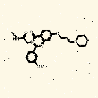 COc1cccc(-c2nc3cc(OCCCN4CCCCC4)ccc3c(=O)n2CC(=O)NC(C)C)c1